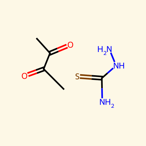 CC(=O)C(C)=O.NNC(N)=S